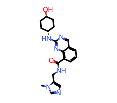 Cn1cncc1CNC(=O)c1cccc2cnc(N[C@H]3CC[C@H](O)CC3)nc12